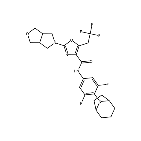 O=C(Nc1cc(F)c(N2C3CCCC2CC3)c(F)c1)c1nc(N2CC3COCC3C2)oc1CC(F)(F)F